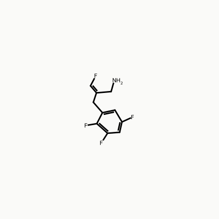 NC/C(=C\F)Cc1cc(F)cc(F)c1F